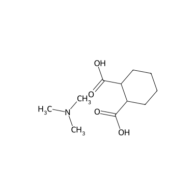 CN(C)C.O=C(O)C1CCCCC1C(=O)O